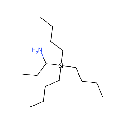 CCCC[Si](CCCC)(CCCC)C(N)CC